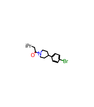 CC(C)CC(=O)N1CCC(c2ccc(Br)cc2)CC1